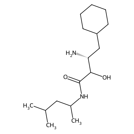 CC(C)CC(C)NC(=O)C(O)[C@H](N)CC1CCCCC1